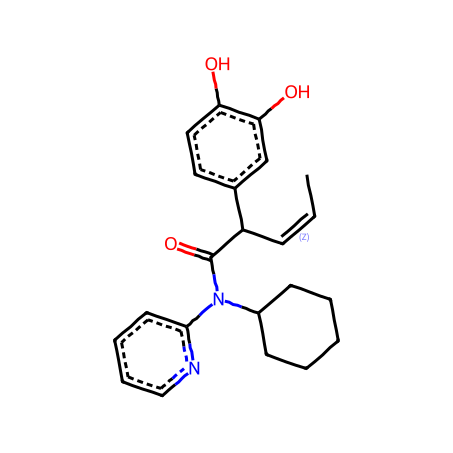 C/C=C\C(C(=O)N(c1ccccn1)C1CCCCC1)c1ccc(O)c(O)c1